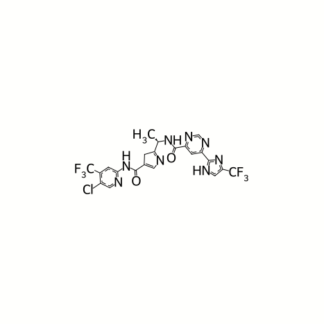 C[C@@H](NC(=O)c1cc(-c2nc(C(F)(F)F)c[nH]2)ncn1)C1=NC=C(C(=O)Nc2cc(C(F)(F)F)c(Cl)cn2)C1